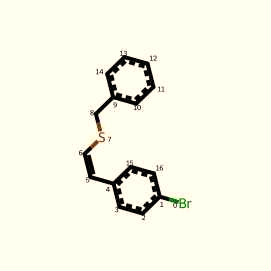 Brc1ccc(/C=C\SCc2ccccc2)cc1